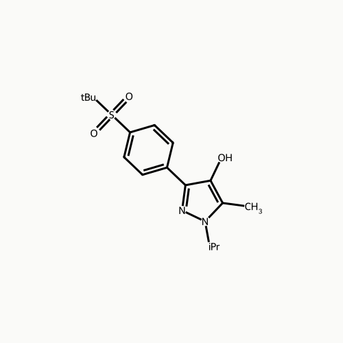 Cc1c(O)c(-c2ccc(S(=O)(=O)C(C)(C)C)cc2)nn1C(C)C